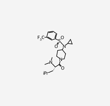 CC(C)C[C@@H](C(=O)N1CCC(N(C2CC2)S(=O)(=O)c2cccc(C(F)(F)F)c2)CC1)N(C)C